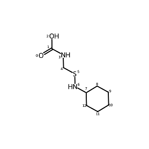 O=C(O)NCSNC1CCCCC1